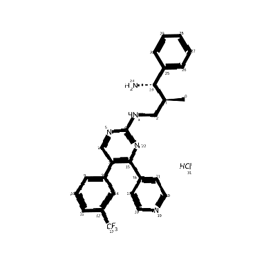 C[C@@H](CNc1ncc(-c2cccc(C(F)(F)F)c2)c(-c2ccncc2)n1)[C@H](N)c1ccccc1.Cl